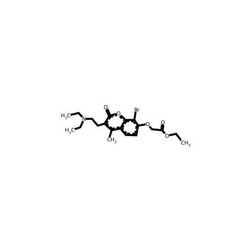 CCOC(=O)COc1ccc2c(C)c(CCN(CC)CC)c(=O)oc2c1Br